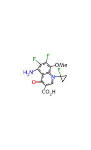 COc1c(F)c(F)c(N)c2c(=O)c(C(=O)O)cn(C3(F)CC3)c12